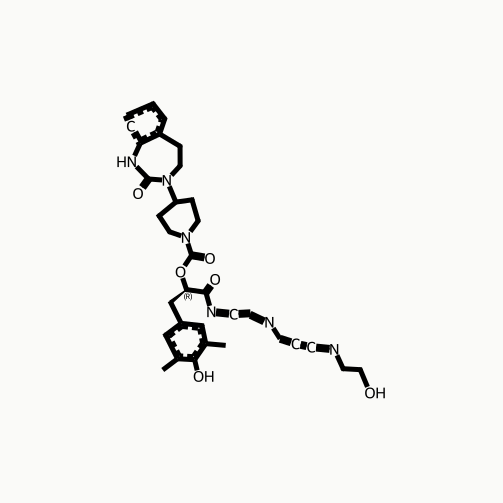 Cc1cc(C[C@@H](OC(=O)N2CCC(N3CCc4ccccc4NC3=O)CC2)C(=O)N=C=C=NC=C=C=NCCO)cc(C)c1O